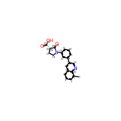 Cc1cccc2cc(-c3cccc(N4CC[C@H](C(=O)O)C4=O)c3)cnc12